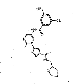 Cc1ncc(NC(=O)c2cc(C#N)cc(C(C)(C)C)c2)cc1-n1cc(C(=O)NCC2CCCO2)nn1